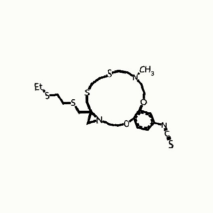 CCSCCSCC12CSCCSCCN(C)CCOc3cc(N=C=S)ccc3OCCN1C2